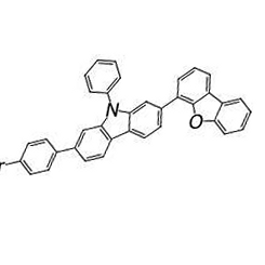 Brc1ccc(-c2ccc3c4ccc(-c5cccc6c5oc5ccccc56)cc4n(-c4ccccc4)c3c2)cc1